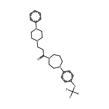 O=C(CCN1CCN(c2ccccc2)CC1)N1CCCN(c2ccc(SC(F)(F)F)cc2)CC1